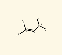 CN(C)C=C(F)F